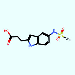 CS(=O)(=O)Nc1ccc2[nH]c(CCC(=O)O)cc2c1